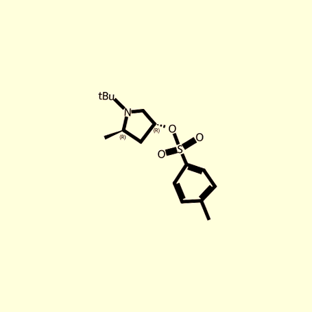 Cc1ccc(S(=O)(=O)O[C@@H]2C[C@@H](C)N(C(C)(C)C)C2)cc1